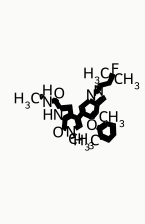 CCNC(=O)c1cc2c(-c3cc4nn(CCC(C)(C)F)cc4cc3Oc3c(C)cccc3C)cn(C)c(=O)c2[nH]1